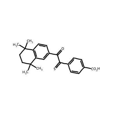 CC1(C)CCC(C)(C)c2cc(C(=O)C(=S)c3ccc(C(=O)O)cc3)ccc21